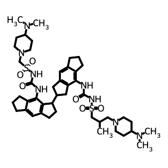 CC(CN1CCC(N(C)C)CC1)CS(=O)(=O)NC(=O)Nc1c2c(cc3c1CC(C1CCc4cc5c(c(NC(=O)NS(=O)(=O)CN6CCC(N(C)C)CC6)c41)CCC5)C3)CCC2